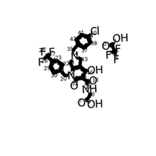 O=C(O)C(F)(F)F.O=C(O)CNC(=O)c1c(O)c2c(n(Cc3ccc(C(F)(F)F)cc3)c1=O)CN(Cc1ccc(Cl)cc1)C2